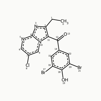 CCc1nc2ncc(Cl)cn2c1C(=O)c1cc(Br)c(O)c(Br)c1